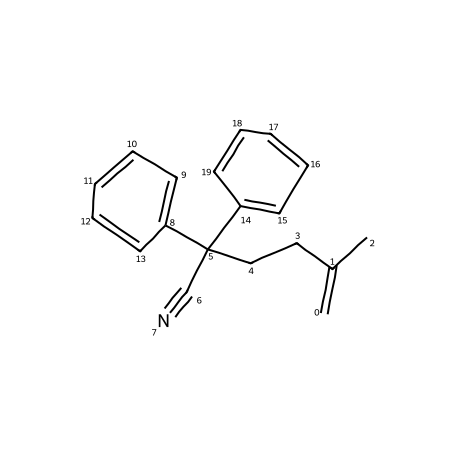 C=C(C)CCC(C#N)(c1ccccc1)c1ccccc1